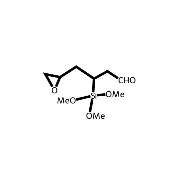 CO[Si](OC)(OC)C(CC=O)CC1CO1